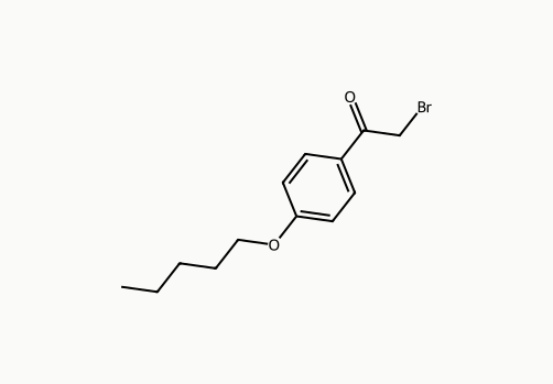 CCCCCOc1ccc(C(=O)CBr)cc1